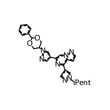 CCCC(C)n1cc(-c2nc(-c3cnn(C4COC(c5ccccc5)OC4)c3)cn3nccc23)cn1